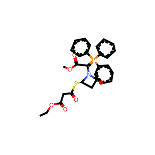 CCOC(=O)CC(=O)S[C@@H]1CC(=O)N1C(C(=O)OC)=P(c1ccccc1)(c1ccccc1)c1ccccc1